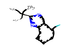 CC(C)(C)c1ncc2c(F)cccc2n1